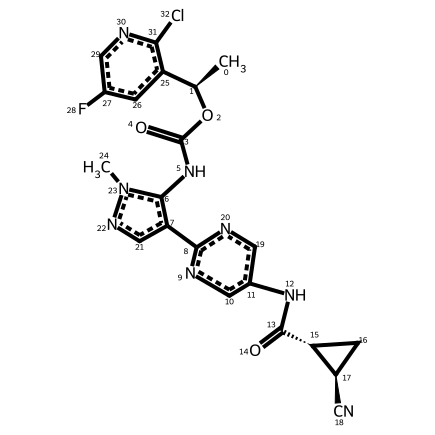 C[C@@H](OC(=O)Nc1c(-c2ncc(NC(=O)[C@@H]3C[C@H]3C#N)cn2)cnn1C)c1cc(F)cnc1Cl